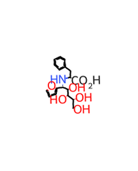 O=C(O)[C@H](Cc1ccccc1)N[C@@H](c1ccco1)[C@H](O)[C@@H](O)[C@H](O)CO